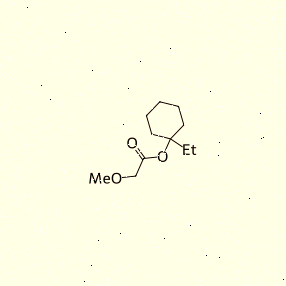 CCC1(OC(=O)COC)CCCCC1